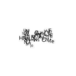 COC[C@H]1Cn2cc(-c3nc(Nc4ccnn4C)ncc3C)nc2C(=O)N1Cc1ccc(F)c(F)c1